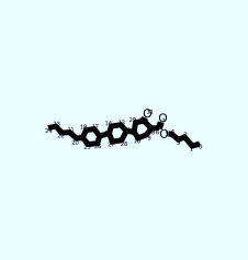 CCCCCOC(=O)C1CCC(C2CCC(C3CCC(CCCCC)CC3)CC2)CC1=O